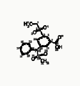 CCS(=O)(=O)c1cc(C(=O)O)cc(N(c2ccccc2)S(C)(=O)=O)c1